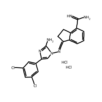 Cl.Cl.N=C(N)c1cccc2c1CC/C2=N\n1cc(-c2cc(Cl)cc(Cl)c2)nc1N